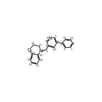 c1ccc(-c2cncc(CN3CCOc4ccccc43)c2)cc1